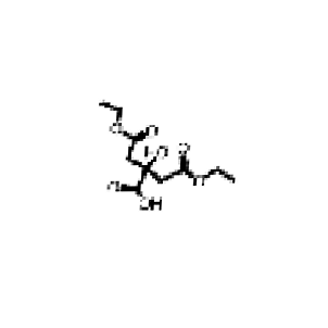 CCOC(=O)CC(O)(CC(=O)OCC)C(=O)O